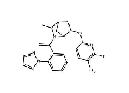 CC1C2CC(Oc3ccc(C(F)(F)F)c(F)n3)C(C2)N1C(=O)c1ccccc1-n1nccn1